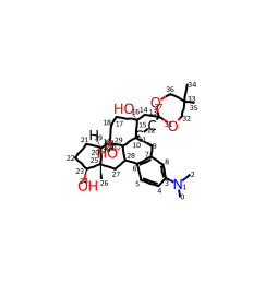 CN(C)c1ccc2c(c1)C[C@]13CCC4(C[C@]1(O)CC[C@H]1[C@@H]5CC[C@H](O)[C@@]5(C)CC2[C@@]13O)OCC(C)(C)CO4